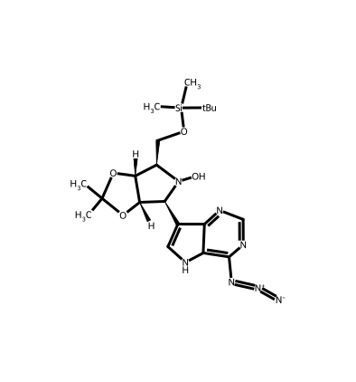 CC1(C)O[C@@H]2[C@H](O1)[C@@H](CO[Si](C)(C)C(C)(C)C)N(O)[C@H]2c1c[nH]c2c(N=[N+]=[N-])ncnc12